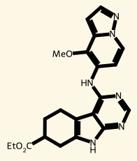 CCOC(=O)C1CCc2c([nH]c3ncnc(Nc4ccn5nccc5c4OC)c23)C1